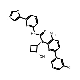 Nc1ccc(-c2cccc(Cl)c2)nc1N(C(=O)Nc1cccc(-c2cnco2)n1)C1CC[C@H]1O